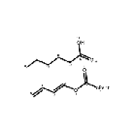 C=CC=COC(=O)CCCCC.CCCCCC(=O)O